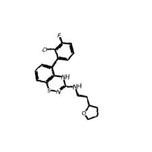 Fc1cccc(-c2cccc3c2NC(NCCC2CCCO2)=NS3)c1Cl